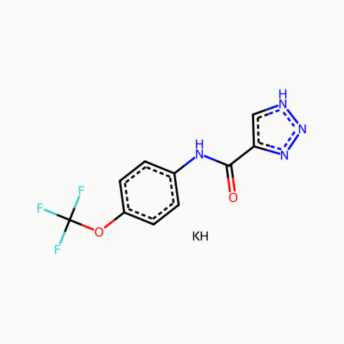 O=C(Nc1ccc(OC(F)(F)F)cc1)c1c[nH]nn1.[KH]